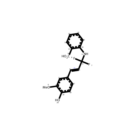 COc1cc(/C=C/C(F)(F)Nc2ccccc2C(=O)O)ccc1O